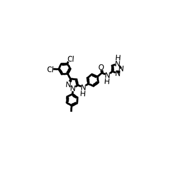 Cc1ccc(-n2nc(-c3cc(Cl)cc(Cl)c3)cc2Nc2ccc(C(=O)Nc3c[nH]nn3)cc2)cc1